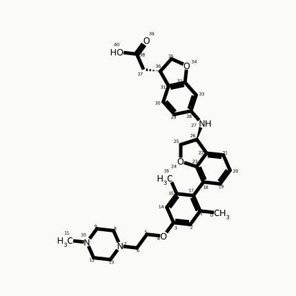 Cc1cc(OCCN2CCN(C)CC2)cc(C)c1-c1cccc2c1OC[C@H]2Nc1ccc2c(c1)OC[C@H]2CC(=O)O